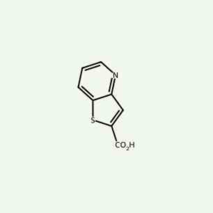 O=C(O)c1cc2ncccc2s1